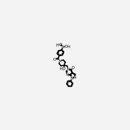 O=C(c1ccc(B(O)O)cc1)N1CCC(O)(Cn2cnc3c(cnn3-c3ccccc3)c2=O)CC1